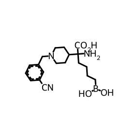 N#Cc1cccc(CN2CCC(C(N)(CCCCB(O)O)C(=O)O)CC2)c1